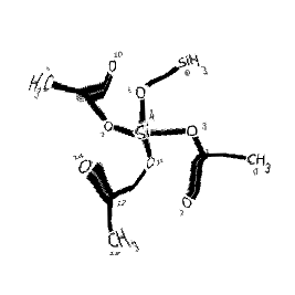 CC(=O)O[Si](O[SiH3])(OC(C)=O)OC(C)=O